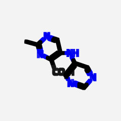 Cc1ncc(Nc2cncnc2)c(C(=O)O)n1